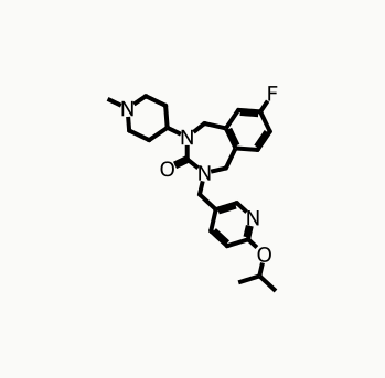 CC(C)Oc1ccc(CN2Cc3ccc(F)cc3CN(C3CCN(C)CC3)C2=O)cn1